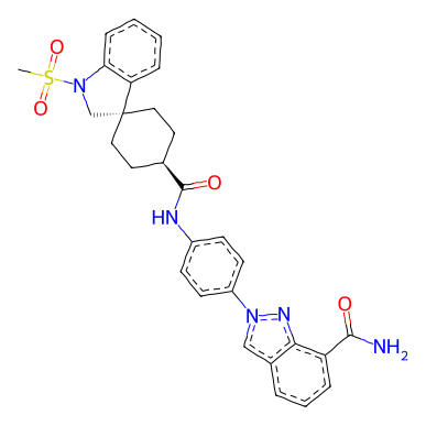 CS(=O)(=O)N1C[C@]2(CC[C@H](C(=O)Nc3ccc(-n4cc5cccc(C(N)=O)c5n4)cc3)CC2)c2ccccc21